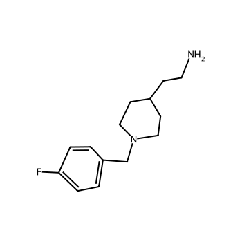 NCCC1CCN(Cc2ccc(F)cc2)CC1